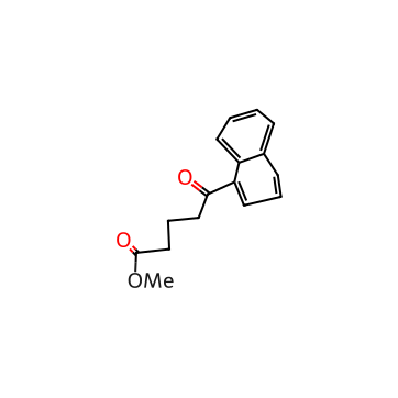 COC(=O)CCCC(=O)c1cccc2ccccc12